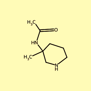 CC(=O)NC1(C)CCCNC1